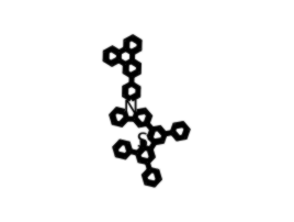 C1=CC(c2ccc3c4ccccc4c4ccccc4c3c2)CC=C1n1c2ccccc2c2cc(-c3cc(-c4ccccc4)cc4c3sc3c(-c5ccccc5)cc(-c5ccccc5)cc34)ccc21